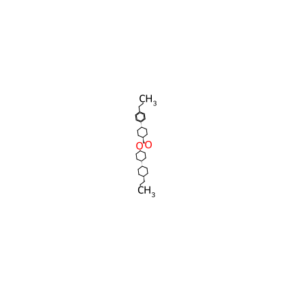 CCCc1ccc([C@H]2CC[C@H](C(=O)OC3CCC([C@H]4CC[C@H](CCC)CC4)CC3)CC2)cc1